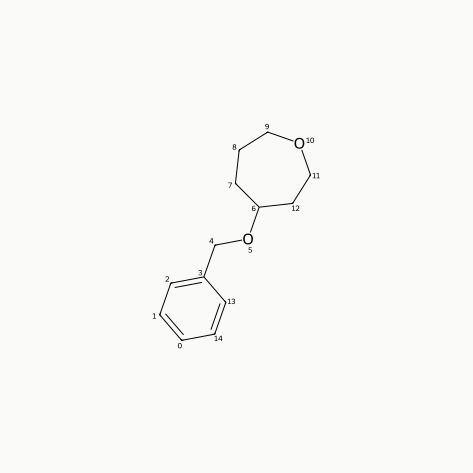 c1ccc(COC2CCCOCC2)cc1